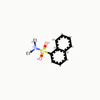 CCN(CC)S(=O)(=O)c1cccc2ccccc12